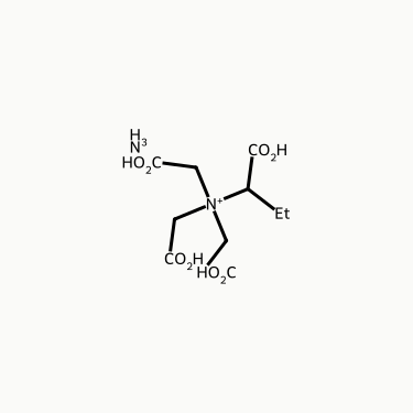 CCC(C(=O)O)[N+](CC(=O)O)(CC(=O)O)CC(=O)O.N